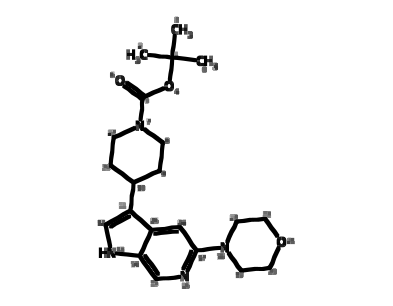 CC(C)(C)OC(=O)N1CCC(c2c[nH]c3cnc(N4CCOCC4)cc23)CC1